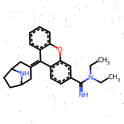 CCN(CC)C(=N)c1ccc2c(c1)Oc1ccccc1C2=C1CC2CCC(C1)N2